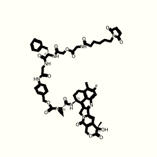 Cc1c(F)cc2nc3c(c4c2c1CC[C@@H]4NC(=O)[C@@H]1CN1C(=O)OCc1ccc(NC(=O)CNC(=O)[C@H](Cc2ccccc2)NC(=O)COC(=O)CNC(=O)CCCCCN2C(=O)C=CC2=O)cc1)Cn1c-3cc2c(c1=O)COC(=O)[C@@]2(C)O